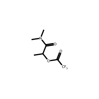 CC(OC(=O)C(F)(F)F)C(=O)N(C)C